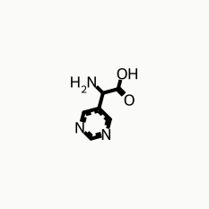 NC(C(=O)O)c1cncnc1